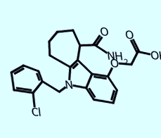 NC(=O)C1CCCCc2c1c1c(OCC(=O)O)cccc1n2Cc1ccccc1Cl